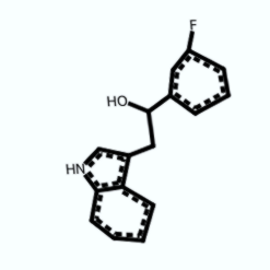 OC(Cc1c[nH]c2ccccc12)c1cccc(F)c1